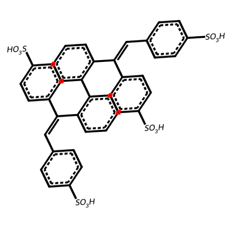 O=S(=O)(O)c1ccc(C=C(c2ccc(S(=O)(=O)O)cc2)c2ccccc2-c2ccccc2C(=Cc2ccc(S(=O)(=O)O)cc2)c2ccc(S(=O)(=O)O)cc2)cc1